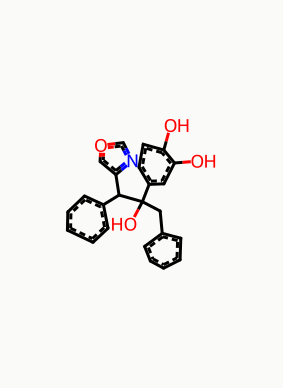 Oc1ccc(C(O)(Cc2ccccc2)C(c2ccccc2)c2cocn2)cc1O